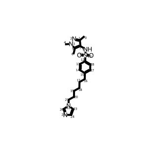 Cc1nn(C)c(C)c1NS(=O)(=O)c1ccc(CCCCCCn2ccnc2)cc1